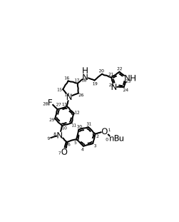 CCCCOc1ccc(C(=O)N(C)c2ccc(N3CCC(NCCc4c[nH]cn4)C3)c(F)c2)cc1